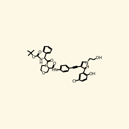 CC(C)(C)OC(=O)N[C@@H](C(=O)N1CCOCC1C(=O)Nc1ccc(C#Cc2cn(CCO)nc2-c2cc(Cl)ccc2O)cc1)c1ccccc1